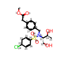 COC(=O)Cc1ccc(CN([C@@H](CO)[C@H](C)O)S(=O)(=O)C2=CCC(Cl)C=C2)cc1